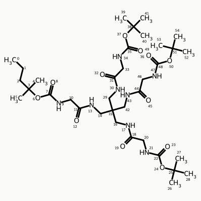 CCCC(C)(C)OC(=O)NCC(=O)NCC(CNC(=O)CNC(=O)OC(C)(C)C)(CNC(=O)CNC(=O)OC(C)(C)C)CNC(=O)CNC(=O)OC(C)(C)C